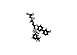 O=C(O)CNC(=O)CCC1CN(S(=O)(=O)c2cccc(C(F)(F)F)c2)c2cc(-c3cccc(F)c3F)ccc2O1